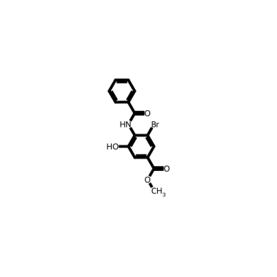 COC(=O)c1cc(O)c(NC(=O)c2ccccc2)c(Br)c1